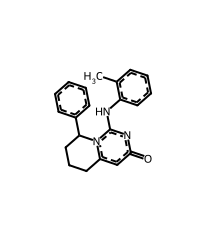 Cc1ccccc1Nc1nc(=O)cc2n1C(c1ccccc1)CCC2